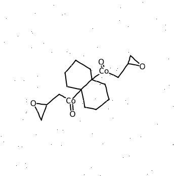 [O]=[Co]([CH2]C1CO1)[C]12CCCC[C]1([Co](=[O])[CH2]C1CO1)CCCC2